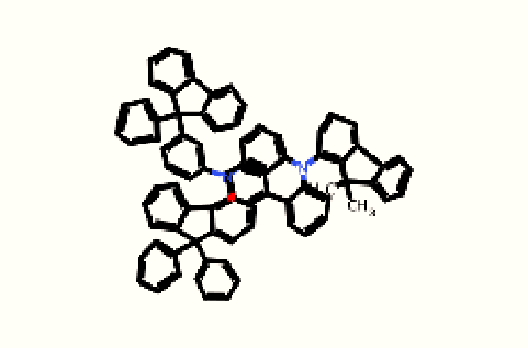 CC1(C)c2ccccc2-c2cccc(N(c3cccc(N(c4cccc(C5(c6ccccc6)c6ccccc6-c6ccccc65)c4)c4cccc5c4-c4ccccc4C5(c4ccccc4)c4ccccc4)c3)c3ccccc3-c3ccccc3)c21